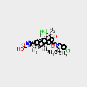 CC(C)C1=C2[C@H]3CC[C@@H]4[C@@]5(C)CC=C(c6cn(CC(=O)O)nn6)C(C)(C)[C@@H]5CC[C@@]4(C)[C@]3(C)CC[C@@]2([C@@H](O)CN(CCN(C)C)Cc2ccc(Cl)cc2)CC1=O.Cl